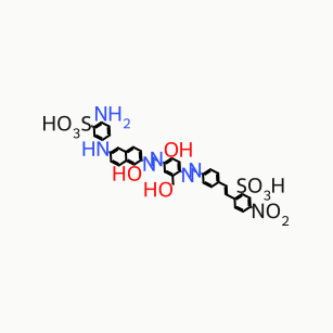 Nc1ccc(Nc2ccc3c(O)c(N=Nc4cc(CO)c(N=Nc5ccc(C=Cc6ccc([N+](=O)[O-])cc6S(=O)(=O)O)cc5)cc4O)ccc3c2)cc1S(=O)(=O)O